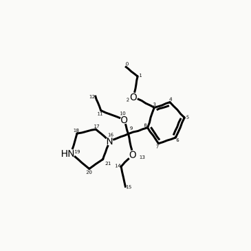 CCOc1ccccc1C(OCC)(OCC)N1CCNCC1